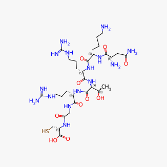 C[C@@H](O)[C@H](NC(=O)[C@H](CCCNC(=N)N)NC(=O)[C@H](CCCCN)NC(=O)[C@@H](N)CC(N)=O)C(=O)N[C@@H](CCCNC(=N)N)C(=O)NCC(=O)N[C@@H](CS)C(=O)O